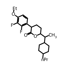 CCCC1CCC(C(C)C2CCC(c3ccc(OCC)c(F)c3F)C(=O)O2)CC1